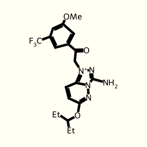 CCC(CC)Oc1ccc2n(n1)c(N)n[n+]2CC(=O)c1cc(OC)cc(C(F)(F)F)c1